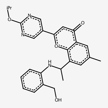 Cc1cc(C(C)Nc2ccccc2CO)c2oc(-c3cnc(OC(C)C)nc3)cc(=O)c2c1